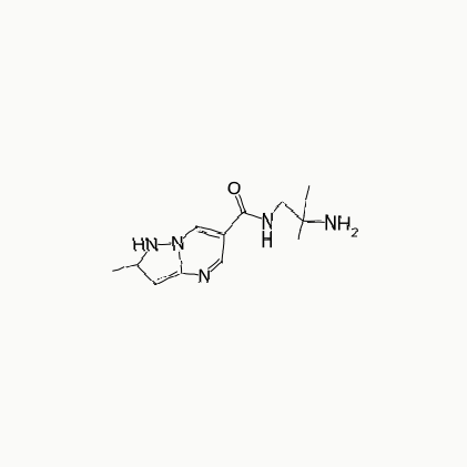 CC1C=C2N=CC(C(=O)NCC(C)(C)N)=CN2N1